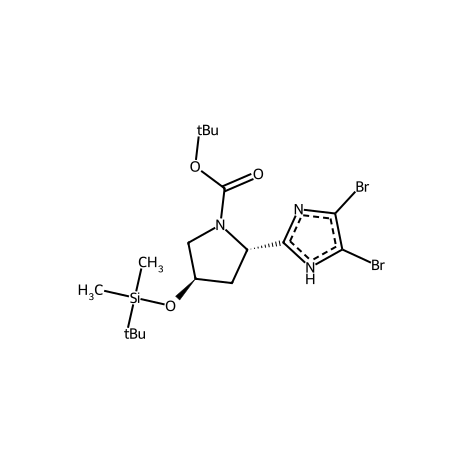 CC(C)(C)OC(=O)N1C[C@H](O[Si](C)(C)C(C)(C)C)C[C@H]1c1nc(Br)c(Br)[nH]1